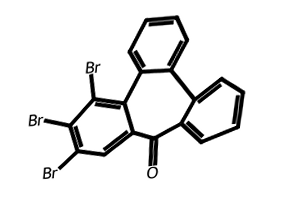 O=c1c2ccccc2c2ccccc2c2c(Br)c(Br)c(Br)cc12